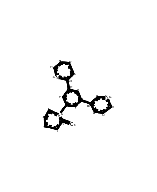 O=c1ccccn1-c1cc(-c2cccnc2)cc(-c2ccccn2)c1